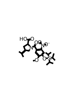 COc1cc(C(=O)N2CC(=C(C)C)CC2C(=O)O)c([N+](=O)[O-])cc1O[Si](C(C)C)(C(C)C)C(C)C